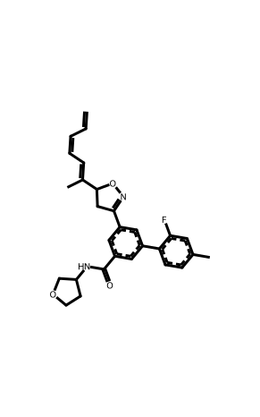 C=C/C=C\C=C(/C)C1CC(c2cc(C(=O)NC3CCOC3)cc(-c3ccc(C)cc3F)c2)=NO1